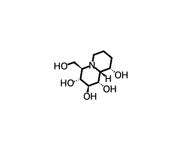 OC[C@@H]1[C@@H](O)[C@H](O)[C@@H](O)[C@H]2[C@@H](O)CCCN21